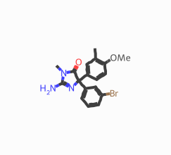 COc1ccc(C2(c3cccc(Br)c3)N=C(N)N(C)C2=O)cc1C